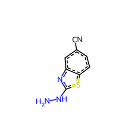 N#Cc1ccc2sc(NN)nc2c1